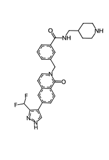 O=C(NCC1CCNCC1)c1cccc(Cn2ccc3cc(-c4c[nH]nc4C(F)F)ccc3c2=O)c1